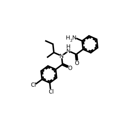 CCC(C)N(NC(=O)c1ccccc1N)C(=O)c1ccc(Cl)c(Cl)c1